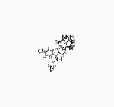 CN(C)CCNC(c1ccc(Cl)cc1)C1CCN(c2ncnc3[nH]nc(Br)c23)CC1